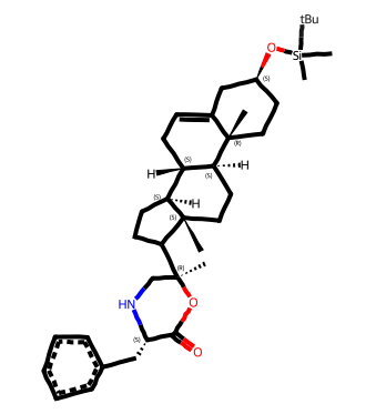 CC(C)(C)[Si](C)(C)O[C@H]1CC[C@@]2(C)C(=CC[C@@H]3[C@@H]2CC[C@]2(C)C([C@]4(C)CN[C@@H](Cc5ccccc5)C(=O)O4)CC[C@@H]32)C1